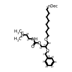 CCCCCCCCCCCCCCCCCCOCC(COC(=O)NCCN(C)C)OCc1ccccc1